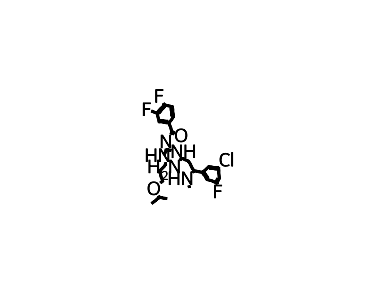 CNC(CC(N)N/C(=N\C(=O)c1ccc(F)c(F)c1)NCCCOC(C)C)c1cc(F)cc(Cl)c1